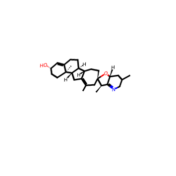 CC1=C2C[C@H]3[C@@H](CCC4=C[C@@H](O)CC[C@@]43C)[C@@H]2CC[C@@]2(C1)O[C@@H]1CC(C)CN=C1[C@H]2C